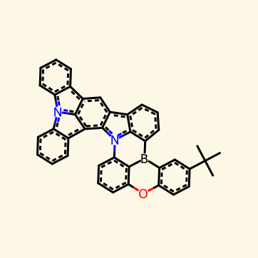 CC(C)(C)c1ccc2c(c1)B1c3c(cccc3-n3c4c1cccc4c1cc4c5ccccc5n5c6ccccc6c(c13)c45)O2